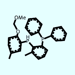 COCOc1ccc(C)cc1Pc1c(C)cccc1P(c1ccccc1)c1ccccc1